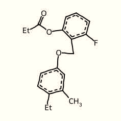 CCC(=O)Oc1cccc(F)c1COc1ccc(CC)c(C)c1